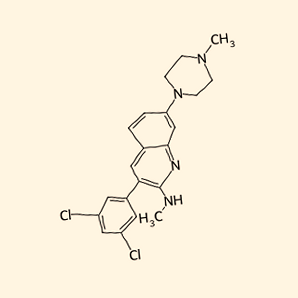 CNc1nc2cc(N3CCN(C)CC3)ccc2cc1-c1cc(Cl)cc(Cl)c1